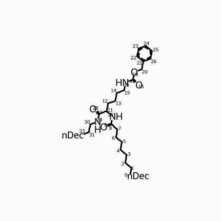 CCCCCCCCCCCCCCCCCC(=O)NC(CCCCNC(=O)OCc1ccccc1)C(=O)NCCCCCCCCCCCC